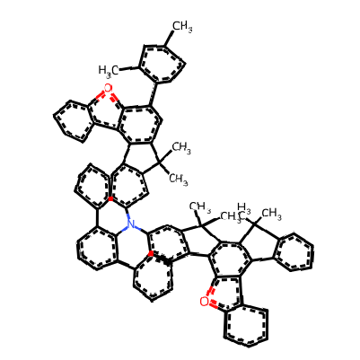 Cc1ccc(-c2cc3c(c4c2oc2ccccc24)-c2ccc(N(c4ccc5c(c4)C(C)(C)c4c6c(c7c(oc8ccccc87)c4-5)-c4ccccc4C6(C)C)c4c(-c5ccccc5)cccc4-c4ccccc4)cc2C3(C)C)c(C)c1